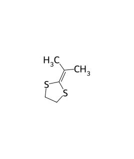 CC(C)=C1SCCS1